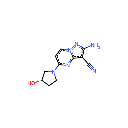 N#Cc1c(N)nn2ccc(N3CC[C@H](O)C3)nc12